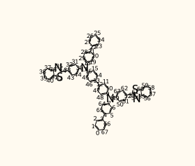 c1ccc(-c2ccc(N(c3ccc(-c4ccc(N(c5ccc(-c6ccccc6)cc5)c5ccc(-c6nc7ccccc7s6)cc5)cc4)cc3)c3ccc(-c4nc5ccccc5s4)cc3)cc2)cc1